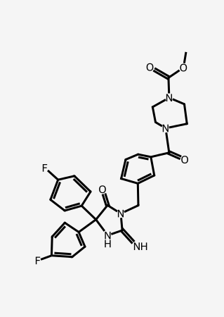 COC(=O)N1CCN(C(=O)c2cccc(CN3C(=N)NC(c4ccc(F)cc4)(c4ccc(F)cc4)C3=O)c2)CC1